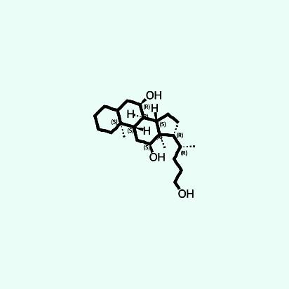 C[C@H](CCCO)[C@H]1CC[C@H]2[C@@H]3[C@H](O)CC4CCCC[C@]4(C)[C@H]3C[C@H](O)[C@]12C